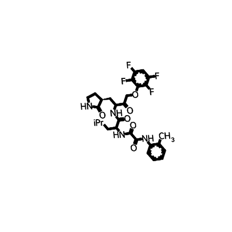 Cc1ccccc1NC(=O)C(=O)NC(CC(C)C)C(=O)NC(C[C@@H]1CCNC1=O)C(=O)COc1c(F)c(F)cc(F)c1F